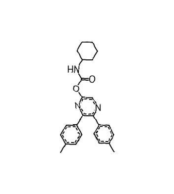 Cc1ccc(-c2ncc(OC(=O)NC3CCCCC3)nc2-c2ccc(C)cc2)cc1